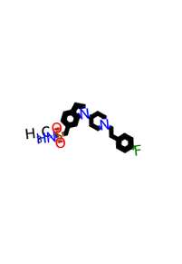 CNS(=O)(=O)Cc1ccc2ccn(C3CCN(CCc4ccc(F)cc4)CC3)c2c1